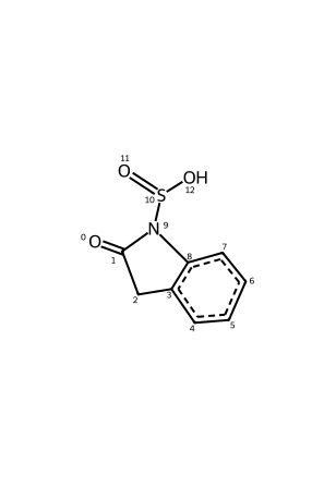 O=C1Cc2ccccc2N1S(=O)O